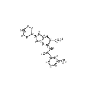 O=C(Nc1cc2cn(C3CCNCC3)nc2cc1C(=O)O)c1cccc(C(F)(F)F)n1